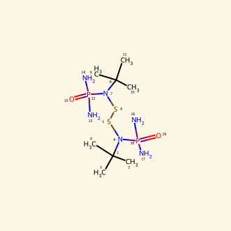 CC(C)(C)N(SSN(C(C)(C)C)P(N)(N)=O)P(N)(N)=O